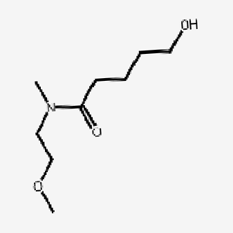 COCCN(C)C(=O)CCCCO